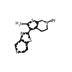 CC(C)N1CCc2c(sc(N)c2-c2nc3cnccc3s2)C1